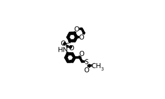 CC(=O)SCC(=O)c1cccc(NS(=O)(=O)c2ccc3c(c2)OCCO3)c1